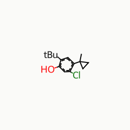 CC(C)(C)c1cc(C2(C)CC2)c(Cl)cc1O